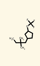 CCC(C)(C)CC1CCC(OC(F)(F)F)C1